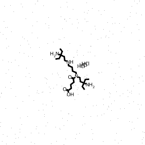 CCC(N)(CC)CCNCCCCN(CCC(N)(CC)CC)C(=O)CCCC(=O)O.Cl.Cl.Cl